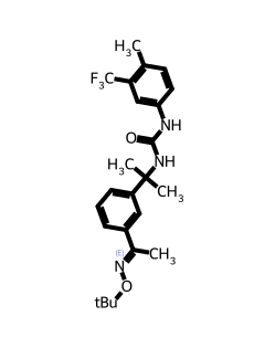 C/C(=N\OC(C)(C)C)c1cccc(C(C)(C)NC(=O)Nc2ccc(C)c(C(F)(F)F)c2)c1